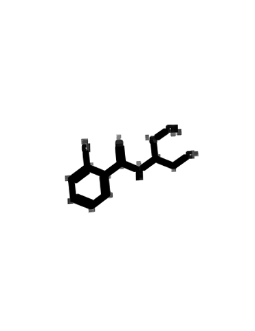 COC(CCl)NC(=O)c1ccccc1Cl